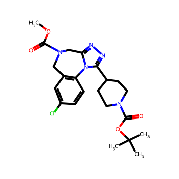 COC(=O)N1Cc2cc(Cl)ccc2-n2c(nnc2C2CCN(C(=O)OC(C)(C)C)CC2)C1